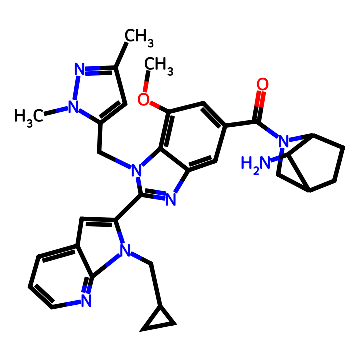 COc1cc(C(=O)N2CC3CCC2C3N)cc2nc(-c3cc4cccnc4n3CC3CC3)n(Cc3cc(C)nn3C)c12